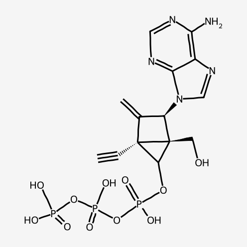 C#C[C@]12C(=C)[C@@H](n3cnc4c(N)ncnc43)[C@]1(CO)C2OP(=O)(O)OP(=O)(O)OP(=O)(O)O